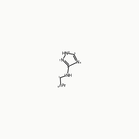 CCCCNc1nc[nH]n1